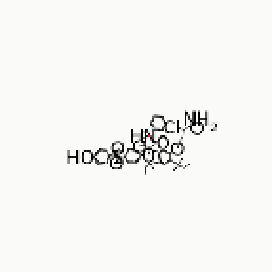 CCC(C)(C)c1cc(C(C)(C)CC)c(C(Oc2ccc(S(=O)(=O)c3ccc(O)cc3)cc2)(C(=O)Nc2ccccc2)C(=O)C(C)(C)C)cc1OCCC(Cl)C(N)=O